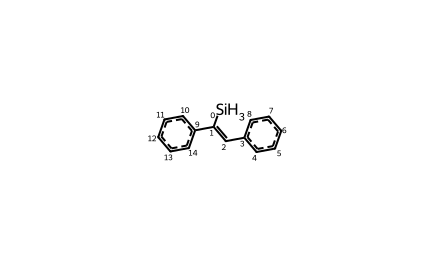 [SiH3]C(=Cc1ccccc1)c1ccccc1